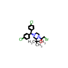 CC(C)(C)[C@H]1CN(C(c2ccc(Cl)cc2)c2ccc(Cl)cc2)CCN1C(=O)CBr